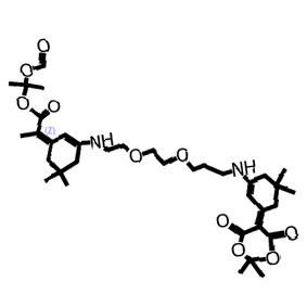 C/C(C(=O)OC(C)(C)OC=O)=C1/C=C(NCCOCCOCCCNC2=CC(=C3C(=O)OC(C)(C)OC3=O)CC(C)(C)C2)CC(C)(C)C1